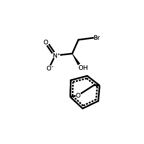 O=[N+]([O-])[C@H](O)CBr.c1cc2ccc1CO2